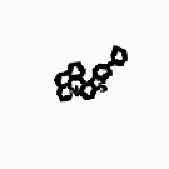 c1ccc(-c2ccc3c(c2)sc2cccc(-c4cccc5ccc6cccnc6c45)c23)cc1